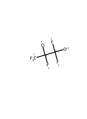 [O]C(F)(F)C(F)(Cl)C(F)(F)F